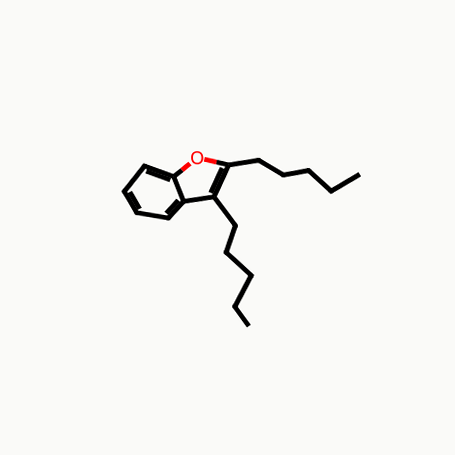 CCCCCc1oc2ccccc2c1CCCCC